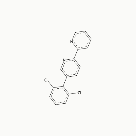 Clc1cccc(Cl)c1-c1ccc(-c2ccccn2)nc1